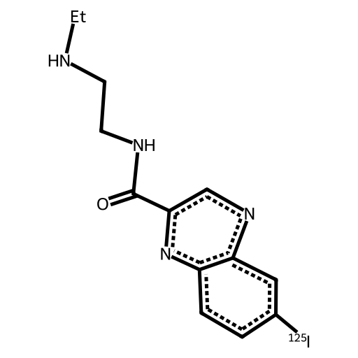 CCNCCNC(=O)c1cnc2cc([125I])ccc2n1